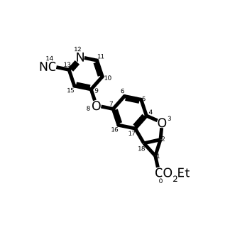 CCOC(=O)C1C2Oc3ccc(Oc4ccnc(C#N)c4)cc3C21